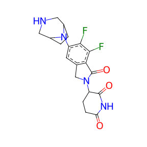 O=C1CCC(N2Cc3cc(N4C5CCC4CNC5)c(F)c(F)c3C2=O)C(=O)N1